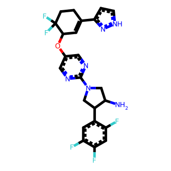 NC1CN(c2ncc(OC3C=C(c4cc[nH]n4)CCC3(F)F)cn2)CC1c1cc(F)c(F)cc1F